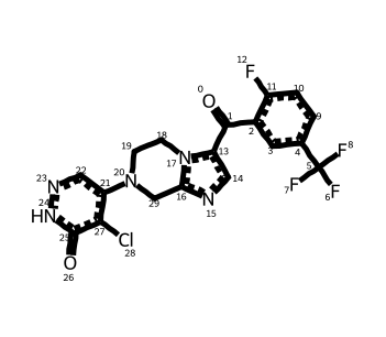 O=C(c1cc(C(F)(F)F)ccc1F)c1cnc2n1CCN(c1cn[nH]c(=O)c1Cl)C2